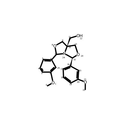 COc1cccc(C2OC[C@]3(CO)CO[C@@H](c4cccc(OC)c4)N23)c1